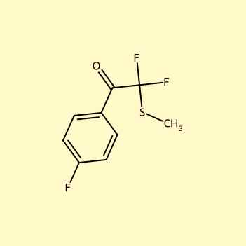 CSC(F)(F)C(=O)c1ccc(F)cc1